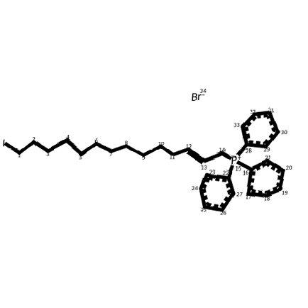 ICCCCCCCCCCCC=CC[P+](c1ccccc1)(c1ccccc1)c1ccccc1.[Br-]